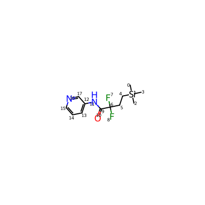 C[Si](C)(C)CCC(F)(F)C(=O)Nc1cccnc1